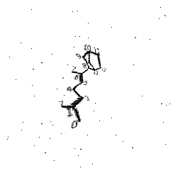 CC(C)=CCC=C(C)C1CC2C=CC1C2